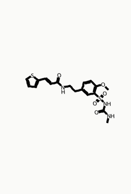 CNC(=O)NS(=O)(=O)c1cc(CCNC(=O)/C=C/c2cccs2)ccc1OC